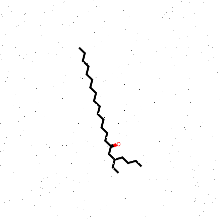 CCCCCCCCCCCCCCCC(=O)CC(CC)CCCC